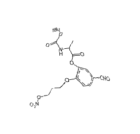 CC(NC(=O)OC(C)(C)C)C(=O)Oc1cc(C=O)ccc1OCCCO[N+](=O)[O-]